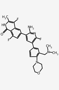 Cc1[nH]c(=O)c2c(F)cc(-c3cc(-c4ccc(N5CCOCC5)c(CN(C)C)c4)c(F)nc3N)cc2c1F